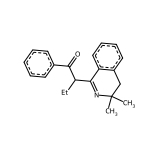 CCC(C(=O)c1ccccc1)C1=NC(C)(C)Cc2ccccc21